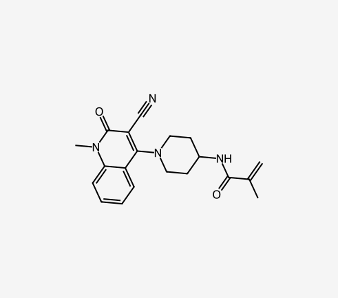 C=C(C)C(=O)NC1CCN(c2c(C#N)c(=O)n(C)c3ccccc23)CC1